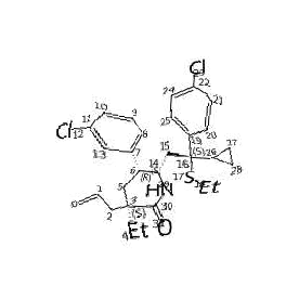 C=CC[C@@]1(CC)C[C@H](c2cccc(Cl)c2)[C@H](C[C@@](SCC)(c2ccc(Cl)cc2)C2CC2)NC1=O